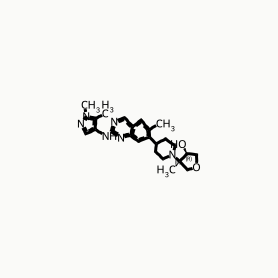 Cc1cc2cnc(Nc3cnn(C)c3C)nc2cc1C1CCN([C@]2(C)COC[C@@H]2O)CC1